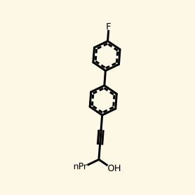 CCCC(O)C#Cc1ccc(-c2ccc(F)cc2)cc1